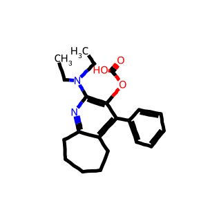 CCN(CC)c1nc2c(c(-c3ccccc3)c1OC(=O)O)CCCCC2